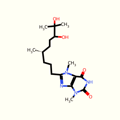 C[C@@H](CCCc1nc2c(c(=O)[nH]c(=O)n2C)n1C)CCC(O)C(C)(C)O